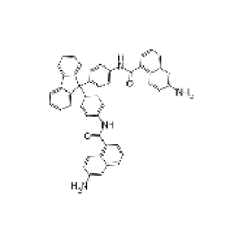 Nc1ccc2c(C(=O)Nc3ccc(C4(c5ccc(NC(=O)c6cccc7cc(N)ccc67)cc5)c5ccccc5-c5ccccc54)cc3)cccc2c1